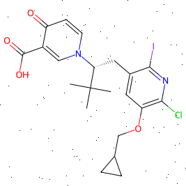 CC(C)(C)[C@@H](Cc1cc(OCC2CC2)c(Cl)nc1I)n1ccc(=O)c(C(=O)O)c1